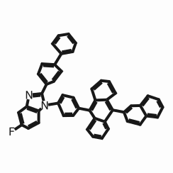 Fc1ccc2c(c1)nc(-c1ccc(-c3ccccc3)cc1)n2-c1ccc(-c2c3ccccc3c(-c3ccc4ccccc4c3)c3ccccc23)cc1